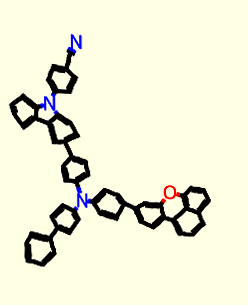 N#Cc1ccc(-n2c3ccccc3c3cc(-c4ccc(N(c5ccc(-c6ccccc6)cc5)c5ccc(-c6ccc7c(c6)Oc6cccc8cccc-7c68)cc5)cc4)ccc32)cc1